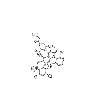 C=CC(=O)N1CC(C)N2c3nc(=O)n(-c4c(C)ccnc4C(C)C)c4cc(-c5c(N)c(Cl)cc(Cl)c5F)c(F)c(c34)NC(=O)C2C1